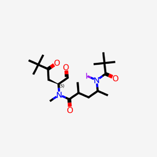 CC(CC(C)N(I)C(=O)C(C)(C)C)C(=O)N(C)[C@H](C=O)CC(=O)C(C)(C)C